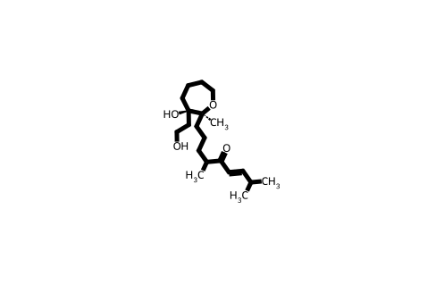 CC(C)C=CC(=O)C(C)CCC[C@]1(C)OCCCC[C@@]1(O)CCO